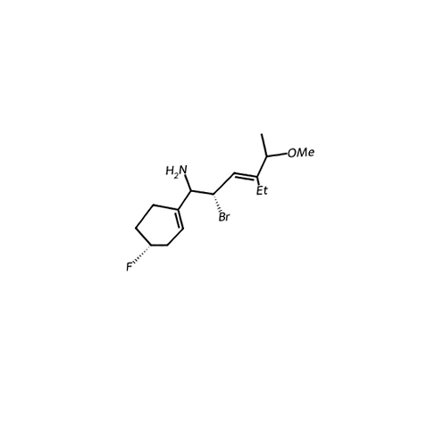 CC/C(=C\[C@H](Br)C(N)C1=CC[C@H](F)CC1)C(C)OC